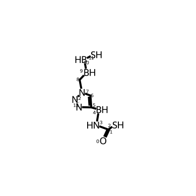 O=C(S)NBc1cn(CBBS)nn1